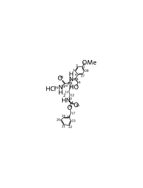 COc1ccc([C@@H](CO)N[C@H](CCCNC(=O)OCc2ccccc2)C(N)=O)cc1.Cl